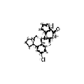 CN1CCCC1c1cc(Cl)ccc1Cn1c(=S)[nH]c(=O)c2[nH]ccc21